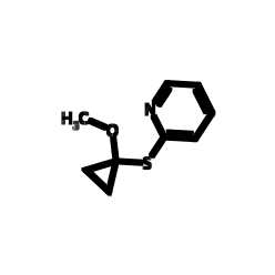 COC1(Sc2ccccn2)CC1